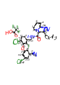 Cc1nc2ccccn2c1C(=O)NCc1ccc(Cl)c(Oc2cc(Cl)cc(C#N)c2)c1F.O=C(O)C(F)(F)F